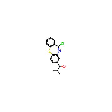 C=C(C)C(=O)c1ccc2c(c1)N=C(Cl)c1ccccc1S2